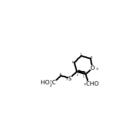 O=CC1=C(SCC(=O)O)CCCO1